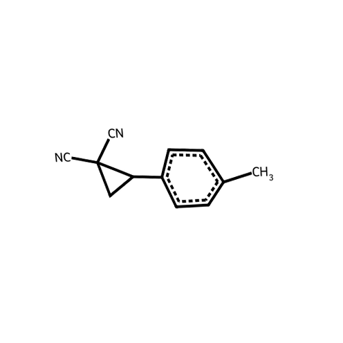 Cc1ccc(C2CC2(C#N)C#N)cc1